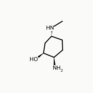 CN[C@@H]1CC[C@@H](N)[C@@H](O)C1